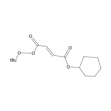 CC(C)(C)OOC(=O)/C=C/C(=O)OC1CCCCC1